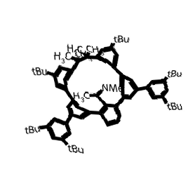 CNC(C)c1c2cccc1-c1cc(-c3cc(C(C)(C)C)cc(C(C)(C)C)c3)cc(c1)-c1cc(C(C)(C)C)cc(c1)C(C)(C)C(C)(C)c1cc(cc(C(C)(C)C)c1)-c1cc(-c3cc(C(C)(C)C)cc(C(C)(C)C)c3)cc-2c1